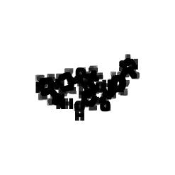 Cc1ncsc1-c1ccc(CNC(=O)[C@@H]2C[C@@H](O)CN2C(=O)[C@@H](NC(=O)C2CCN(c3ccncc3C3CNC3)CC2)C(C)(C)C)cc1